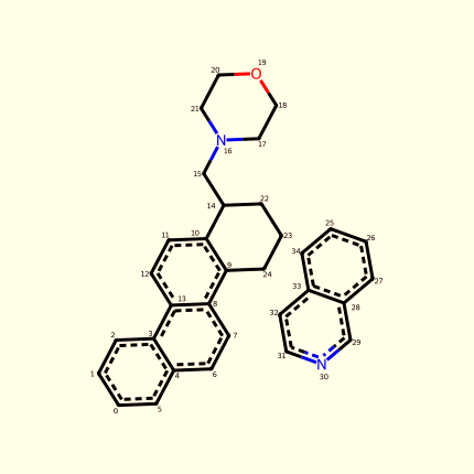 c1ccc2c(c1)ccc1c3c(ccc12)C(CN1CCOCC1)CCC3.c1ccc2cnccc2c1